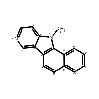 Cn1c2ccncc2c2ccc3ccccc3c21